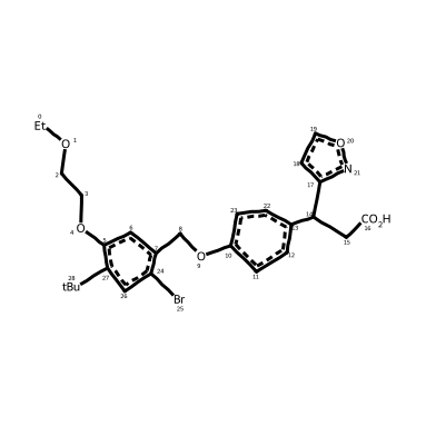 CCOCCOc1cc(COc2ccc(C(CC(=O)O)c3ccon3)cc2)c(Br)cc1C(C)(C)C